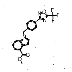 COC(=O)c1cccc2c1ccn2Cc1ccc(-c2noc(C(F)(F)F)n2)cc1